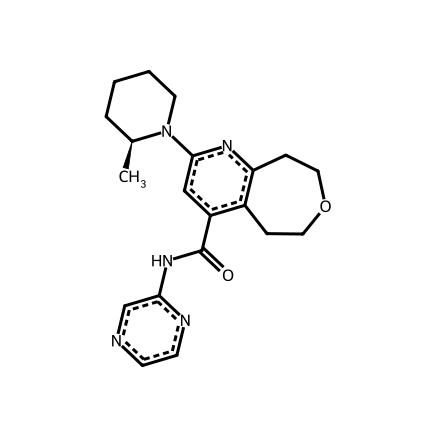 C[C@H]1CCCCN1c1cc(C(=O)Nc2cnccn2)c2c(n1)CCOCC2